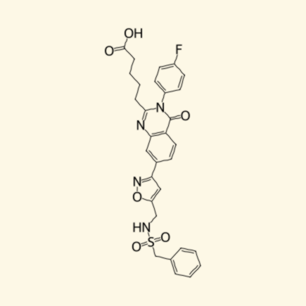 O=C(O)CCCCc1nc2cc(-c3cc(CNS(=O)(=O)Cc4ccccc4)on3)ccc2c(=O)n1-c1ccc(F)cc1